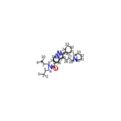 CC(C)CCN(CCC(C)C)C(=O)c1ccn2nc(C3CCCCC3)c(CCCN3CCCCC3)c2c1